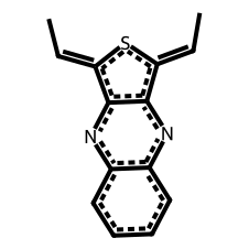 CC=c1sc(=CC)c2nc3ccccc3nc12